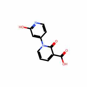 O=C(O)c1cccn(-c2ccnc(O)c2)c1=O